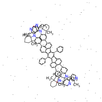 Cc1cc(N2c3ccc(-c4ccc5c6c(-c7ccccc7)c7c8ccc(-c9ccc%10c(c9)C9(C)CCCCC9(C)N%10c9ccnc(C)c9)c9c(-c%10ccc%11c(c%10)C%10(C)CCCCC%10(C)N%11c%10ccnc(C)c%10)ccc(c7c(-c7ccccc7)c6c6ccc(-c7ccc%10c(c7)C7(C)CCCCC7(C)N%10c7ccnc(C)c7)c4c56)c98)cc3C3(C)CCCCC23C)ccn1